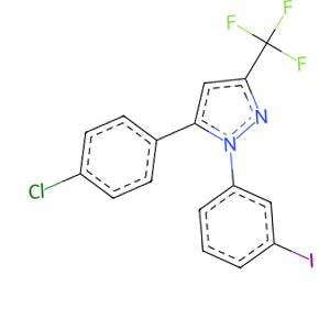 FC(F)(F)c1cc(-c2ccc(Cl)cc2)n(-c2cccc(I)c2)n1